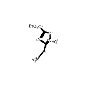 CCOC(=O)c1nc(CN)no1.Cl